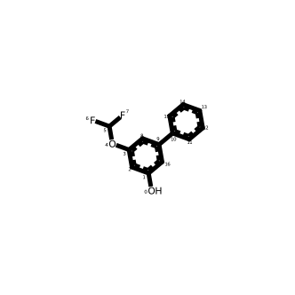 Oc1cc(OC(F)F)cc(-c2ccccc2)c1